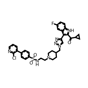 O=C(c1[nH]c2ccc(F)cc2c1-c1cn(CC2CCN(CCNS(=O)(=O)c3ccc(-c4cccnc4Cl)cc3)CC2)nn1)C1CC1